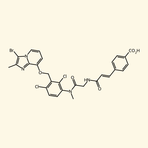 Cc1nc2c(OCc3c(Cl)ccc(N(C)C(=O)CNC(=O)C=Cc4ccc(C(=O)O)cc4)c3Cl)cccn2c1Br